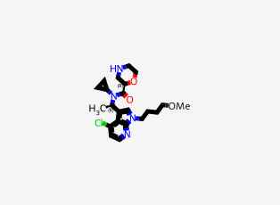 COCCCCn1cc([C@@H](C)N(C(=O)[C@H]2CNCCO2)C2CC2)c2c(Cl)ccnc21